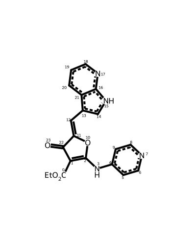 CCOC(=O)C1=C(Nc2ccncc2)OC(=Cc2c[nH]c3ncccc23)C1=O